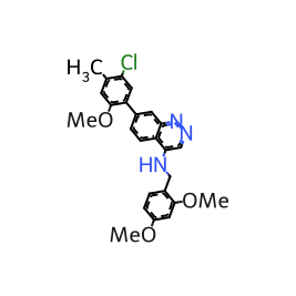 COc1ccc(CNc2cnnc3cc(-c4cc(Cl)c(C)cc4OC)ccc23)c(OC)c1